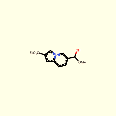 CCOC(=O)c1cc2ccc(C(O)OC)cn2c1